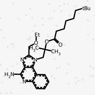 CCOCc1nc2c(N)nc3ccccc3c2n1CC(C)(C)OC(=O)CCCCCC(C)(C)C